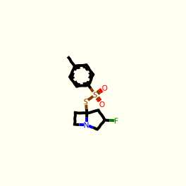 Cc1ccc(S(=O)(=O)SC23CCN2CC(F)C3)cc1